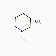 CCl.CN1CCCCC1